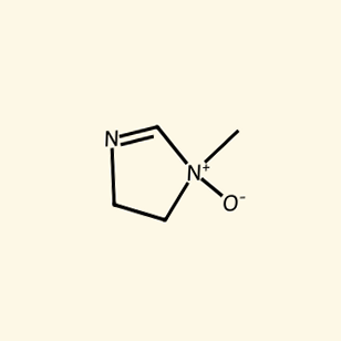 C[N+]1([O-])C=NCC1